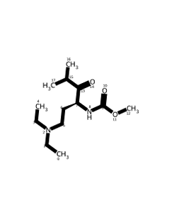 CCN(CC)CC[C@H](NC(=O)OC)C(=O)C(C)C